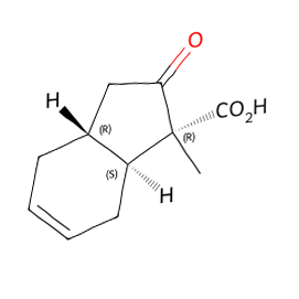 C[C@]1(C(=O)O)C(=O)C[C@H]2CC=CC[C@@H]21